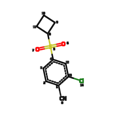 N#Cc1ccc(S(=O)(=O)C2CCC2)cc1Cl